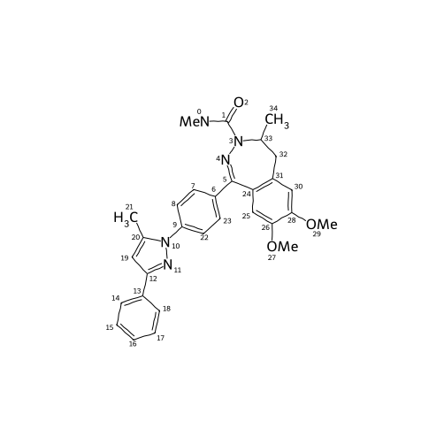 CNC(=O)N1N=C(c2ccc(-n3nc(-c4ccccc4)cc3C)cc2)c2cc(OC)c(OC)cc2CC1C